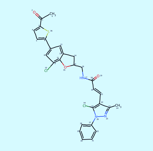 CC(=O)c1ccc(-c2cc(Cl)c3c(c2)CC(CNC(=O)/C=C/c2c(C)nn(-c4ccccc4)c2Cl)O3)s1